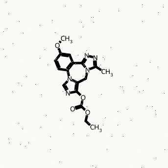 CCOC(=O)Oc1ncn2c1Cn1c(C)nnc1-c1cc(OC)ccc1-2